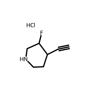 C#CC1CCNCC1F.Cl